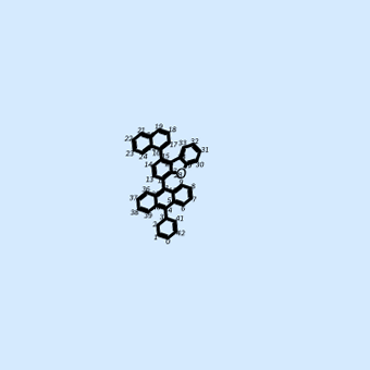 C1=CCC(c2c3ccccc3c(-c3ccc(-c4cccc5ccccc45)c4c3oc3ccccc34)c3ccccc23)C=C1